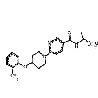 CC(NC(=O)c1ccc(N2CCC(Oc3ccccc3C(F)(F)F)CC2)nn1)C(=O)O